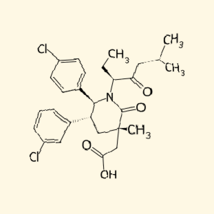 CC[C@@H](C(=O)CC(C)C)N1C(=O)[C@](C)(CC(=O)O)C[C@H](c2cccc(Cl)c2)[C@H]1c1ccc(Cl)cc1